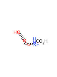 CC(C)(c1ccc(O)cc1)c1ccc(OCc2cccc(COc3ccc(C(=N)NCCC(=O)O)cc3)c2)cc1